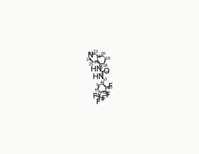 O=C(NCc1ccc(C(F)(F)F)c(F)c1F)Nc1cccc2cnccc12